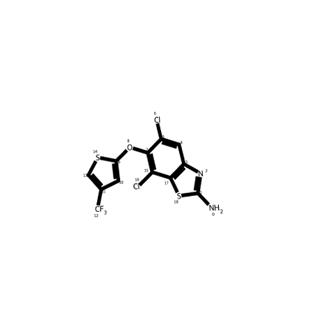 Nc1nc2cc(Cl)c(Oc3cc(C(F)(F)F)cs3)c(Cl)c2s1